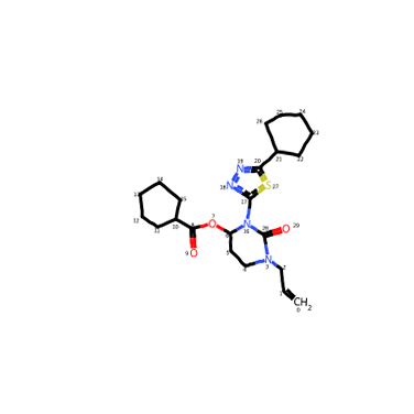 C=CCN1CCC(OC(=O)C2CCCCC2)N(c2nnc(C3CCCCC3)s2)C1=O